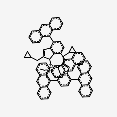 C[SiH](C)[Zr]([CH]1C(CC2CC2)=Cc2c(-c3c4ccccc4cc4ccccc34)ccc(-c3c4ccccc4cc4ccccc34)c21)[CH]1C(CC2CC2)=Cc2c(-c3c4ccccc4cc4ccccc34)ccc(-c3c4ccccc4cc4ccccc34)c21